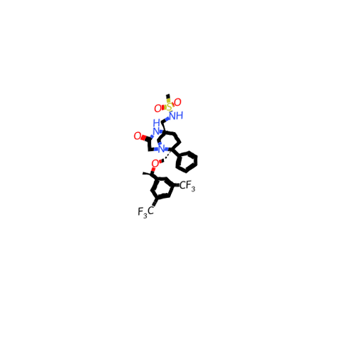 C[C@@H](OC[C@@]1(c2ccccc2)CC[C@]2(CNS(C)(=O)=O)CN1CC(=O)N2)c1cc(C(F)(F)F)cc(C(F)(F)F)c1